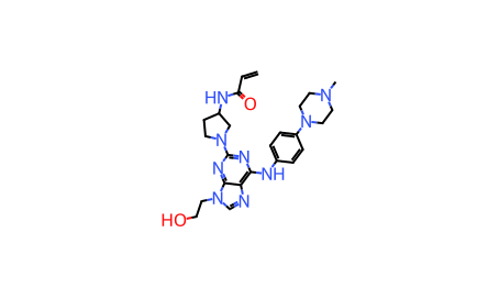 C=CC(=O)NC1CCN(c2nc(Nc3ccc(N4CCN(C)CC4)cc3)c3ncn(CCO)c3n2)C1